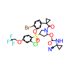 N#CC1(NC(=O)O[C@H]2C[C@@H](S(=O)(=O)c3ccc(OCC(F)(F)F)cc3Cl)CN2C(=O)C2(c3ccc(Br)cc3)CC2)CC1